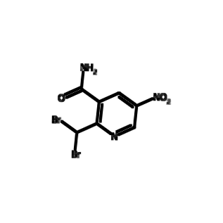 NC(=O)c1cc([N+](=O)[O-])cnc1C(Br)Br